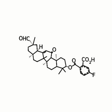 CC1(C)C2CC[C@]3(C)C(C(=O)C=C4[C@@H]5C[C@@](C)(C=O)CC[C@]5(C)CCC43C)[C@@]2(C)CC[C@@H]1OC(=O)c1ccc(F)cc1C(=O)O